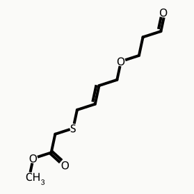 COC(=O)CSCC=CCOCCC=O